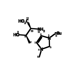 CCCCN1C=CN(C)C1.C[C@@H](O)[C@H](N)C(=O)O